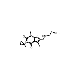 Cc1c(CNCCN)sc2c1c(=O)n(C1(C)CC1)c(=O)n2C